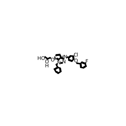 OC[C@H](O)COS1=C2C(=C(Nc3ccc(OCc4cccc(F)c4)c(Cl)c3)N=CN2Cc2ccccc2)C=C1